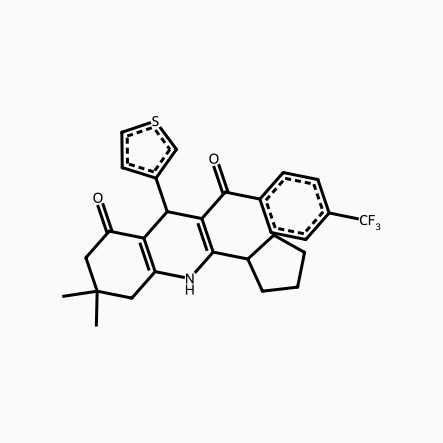 CC1(C)CC(=O)C2=C(C1)NC(C1CCCC1)=C(C(=O)c1ccc(C(F)(F)F)cc1)C2c1ccsc1